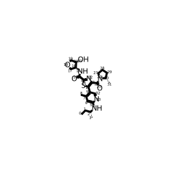 CC[C@@H](C)Nc1cc(C)c(-c2sc(C(=O)N[C@H]3COC[C@@H]3O)nc2C(=O)N2CCC[C@@H]2C)cn1